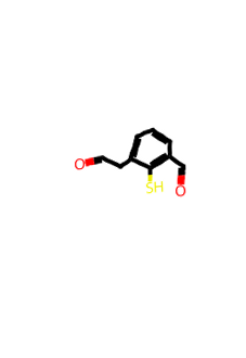 O=CCc1cccc(C=O)c1S